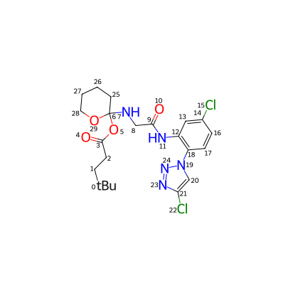 CC(C)(C)CCC(=O)OC1(NCC(=O)Nc2cc(Cl)ccc2-n2cc(Cl)nn2)CCCCO1